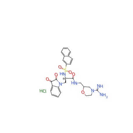 Cl.N=C(N)N1CCOC(CNC(=O)[C@@H](CN2C(=O)C(=O)c3ccccc32)NS(=O)(=O)c2ccc3ccccc3c2)C1